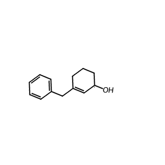 O[C]1C=C(Cc2ccccc2)CCC1